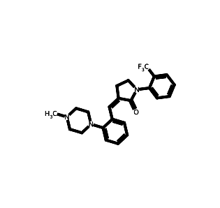 CN1CCN(c2ccccc2/C=C2/CCN(c3ccccc3C(F)(F)F)C2=O)CC1